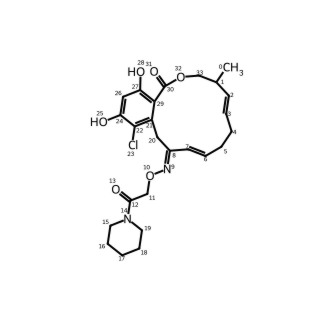 CC1/C=C/CC/C=C/C(=N/OCC(=O)N2CCCCC2)Cc2c(Cl)c(O)cc(O)c2C(=O)OC1